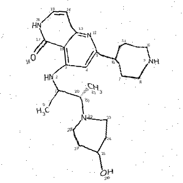 CC(Nc1cc(C2CCNCC2)nc2cc[nH]c(=O)c12)[C@H](C)N1CCC(O)CC1